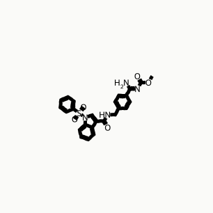 COC(=O)/N=C(\N)c1ccc(CNC(=O)c2cn(S(=O)(=O)c3ccccc3)c3ccccc23)cc1